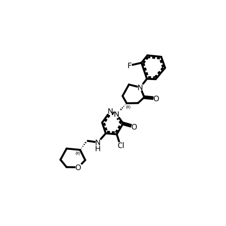 O=C1C[C@H](n2ncc(NC[C@H]3CCCOC3)c(Cl)c2=O)CCN1c1ccccc1F